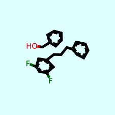 Fc1cc(F)cc(CCCc2ccccc2)c1.OCc1ccccc1